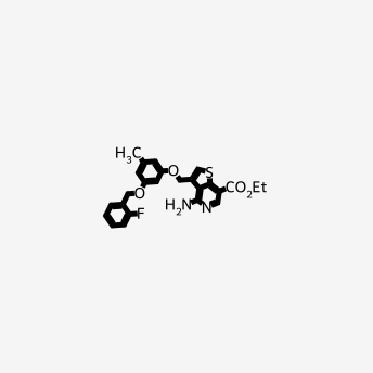 CCOC(=O)c1cnc(N)c2c(COc3cc(C)cc(OCc4ccccc4F)c3)csc12